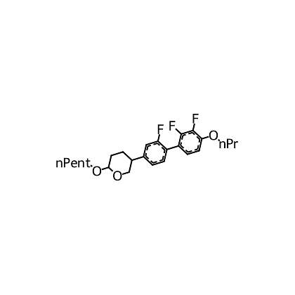 CCCCCOC1CCC(c2ccc(-c3ccc(OCCC)c(F)c3F)c(F)c2)CO1